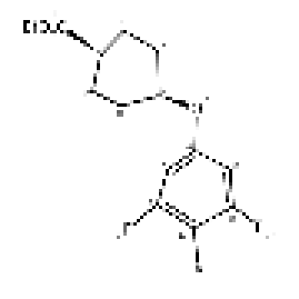 CCOC(=O)[C@H]1CC[C@@H](Oc2cc(F)c(C(C)=O)c(F)c2)CC1